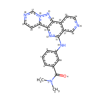 CN(C)C(=O)c1cccc(Nc2nc3c(nn4cnccc34)c3ccncc23)c1